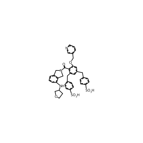 O=C(c1c(Cc2ccc(S(=O)(=O)O)cc2)cc(Cc2ccc(S(=O)(=O)O)cc2)cc1OCc1cccnc1)N1Cc2cccc(NC3CCOC3)c2C1